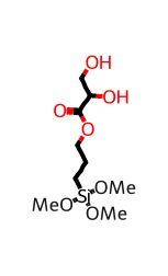 CO[Si](CCCOC(=O)C(O)CO)(OC)OC